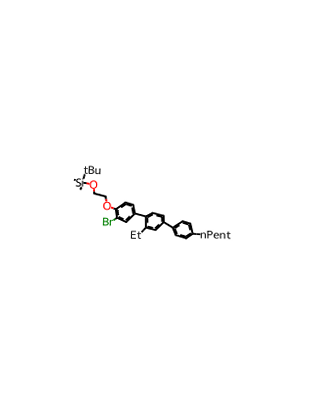 CCCCCc1ccc(-c2ccc(-c3ccc(OCCO[Si](C)(C)C(C)(C)C)c(Br)c3)c(CC)c2)cc1